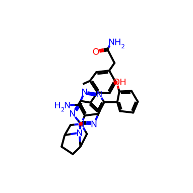 Cc1cc(CC(N)=O)ccc1-c1cnc(N2C3CCC2CN(c2cc(-c4ccccc4O)nnc2N)C3)nc1